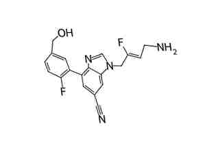 N#Cc1cc(-c2cc(CO)ccc2F)c2ncn(CC(F)=CCN)c2c1